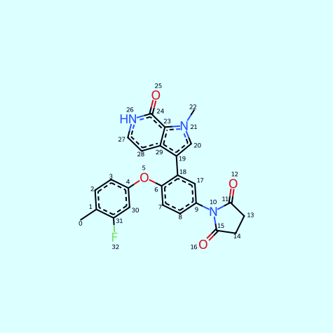 Cc1ccc(Oc2ccc(N3C(=O)CCC3=O)cc2-c2cn(C)c3c(=O)[nH]ccc23)cc1F